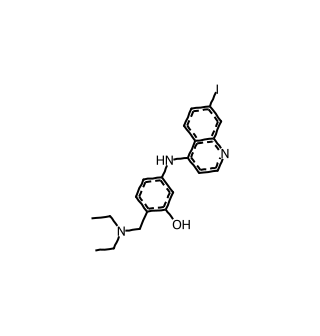 CCN(CC)Cc1ccc(Nc2ccnc3cc(I)ccc23)cc1O